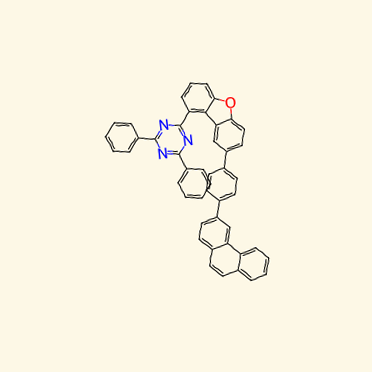 c1ccc(-c2nc(-c3ccccc3)nc(-c3cccc4oc5ccc(-c6ccc(-c7ccc8ccc9ccccc9c8c7)cc6)cc5c34)n2)cc1